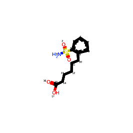 NS(=O)(=O)c1[c]cccc1CCCCCC(=O)O